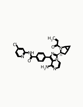 C=CC(=O)N1C2CC2C[C@H]1c1nc(-c2ccc(C(=O)Nc3cc(Cl)ccn3)cc2)c2c(N)nccn12